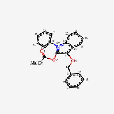 COC(=O)Oc1c(OCc2ccccc2)c2ccccc2n1-c1ccccc1